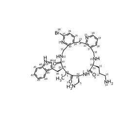 CN1C(=O)[C@H](CN)NC(=O)[C@H](CCCN)NCc2cccnc2Sc2ccc(Br)nc2CNC(=O)[C@@H]1Cc1c[nH]c2ccccc12